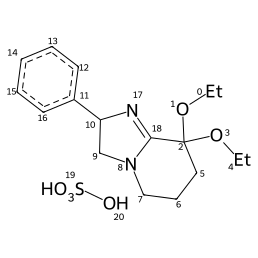 CCOC1(OCC)CCCN2CC(c3ccccc3)N=C21.O=S(=O)(O)O